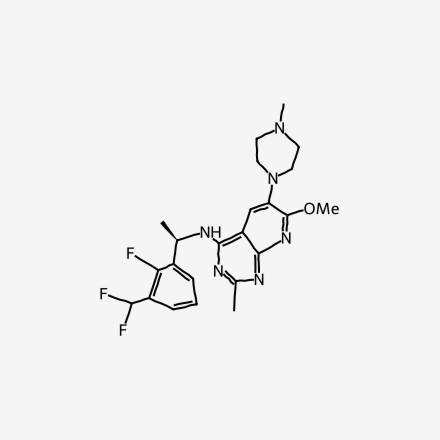 COc1nc2nc(C)nc(N[C@H](C)c3cccc(C(F)F)c3F)c2cc1N1CCN(C)CC1